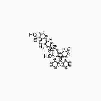 Cc1c(C(=O)O)cccc1-c1ccc(S(=O)(=O)CCc2c(CCO)n(C(c3ccccc3)c3ccccc3)c3ccc(Cl)cc23)cc1